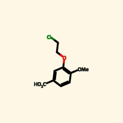 COc1ccc(C(=O)O)cc1OCCCl